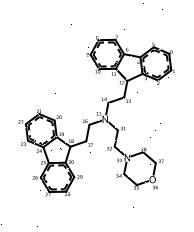 c1ccc2c(c1)-c1ccccc1C2CCN(CCC1c2ccccc2-c2ccccc21)CCN1CCOCC1